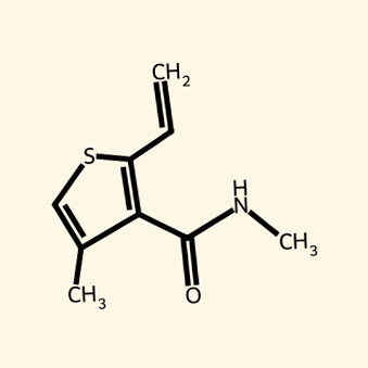 C=Cc1scc(C)c1C(=O)NC